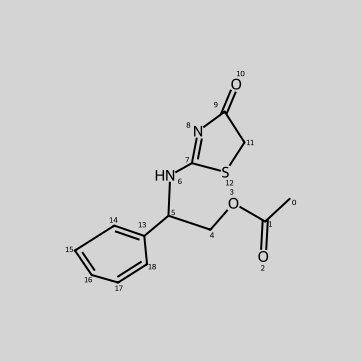 CC(=O)OCC(NC1=NC(=O)CS1)c1ccccc1